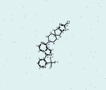 FC(F)(F)c1ncccc1-c1ncc2c(N3CCC4(CC3)Cc3nc(Cl)sc3C4)nccn12